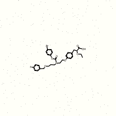 CCOC(Cc1ccc(OCCN(CCCOCc2ccc(F)cc2)C(=O)Oc2ccc(Br)cc2)cc1)C(=O)O